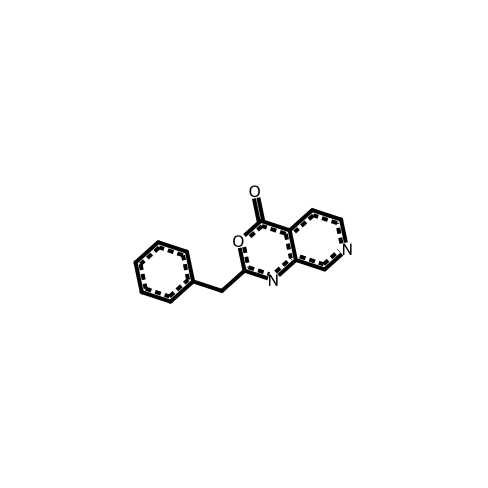 O=c1oc(Cc2ccccc2)nc2cnccc12